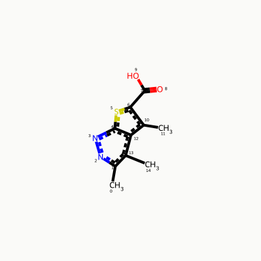 Cc1nnc2sc(C(=O)O)c(C)c2c1C